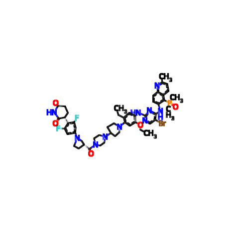 CCOc1cc(N2CCC(N3CCN(C(=O)[C@@H]4CCN(c5cc(F)c([C@H]6CCC(=O)NC6=O)c(F)c5)C4)CC3)CC2)c(CC)cc1Nc1ncc(Br)c(Nc2ccc3nc(C)ccc3c2P(C)(C)=O)n1